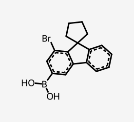 OB(O)c1cc(Br)c2c(c1)-c1ccccc1C21CCCC1